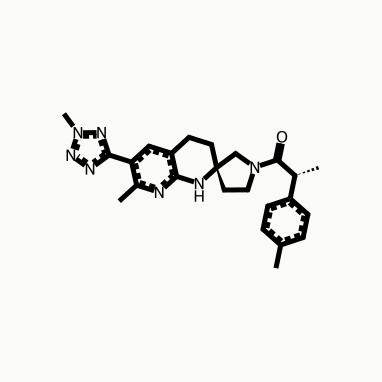 Cc1ccc([C@@H](C)C(=O)N2CC[C@@]3(CCc4cc(-c5nnn(C)n5)c(C)nc4N3)C2)cc1